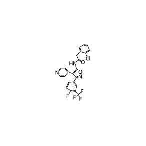 O=C(Cc1ccccc1Cl)Nc1onc(-c2ccc(F)c(C(F)(F)F)c2)c1-c1ccncc1